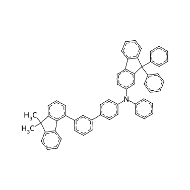 CC1(C)c2ccccc2-c2c(-c3cccc(-c4ccc(N(c5ccccc5)c5ccc6c(c5)C(c5ccccc5)(c5ccccc5)c5ccccc5-6)cc4)c3)cccc21